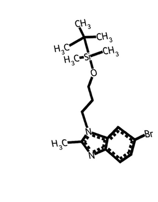 Cc1nc2ccc(Br)cc2n1CCCO[Si](C)(C)C(C)(C)C